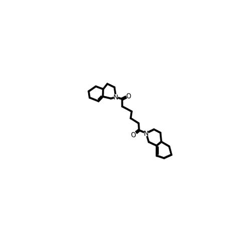 O=C(CCCCC(=O)N1CCC2CCCC=C2C1)N1CCC2CCCC=C2C1